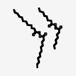 CCCCCCCC(=O)OOC(=O)CCCCCCC.CCCCCCCCCCCC(=O)OOC(=O)CCCCCCCCCCC